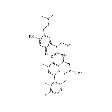 COC(=O)C[C@H](NC(=O)C(CC(C)C)n1cc(CCN(C)C)c(C(F)(F)F)cc1=O)c1cc(-c2c(C)ccc(F)c2C)cc(Cl)n1